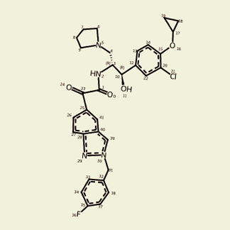 O=C(N[C@H](CN1CCCC1)[C@H](O)c1ccc(OC2CC2)c(Cl)c1)C(=O)c1ccc2nn(Cc3ccc(F)cc3)cc2c1